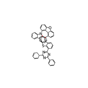 C1=CCC(c2nc(-c3ccccc3)nc(-c3cccc4c3sc3cccc(-c5cccc6oc7cccc(-n8c9ccccc9c9ccccc98)c7c56)c34)n2)C=C1